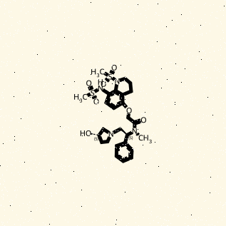 CN(C(=O)COc1ccc(NS(C)(=O)=O)c2c1CCCN2S(C)(=O)=O)[C@H](CN1CC[C@H](O)C1)c1ccccc1